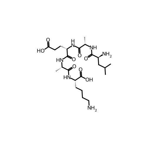 CC(C)C[C@H](N)C(=O)N[C@@H](C)C(=O)N[C@@H](CCC(=O)O)C(=O)N[C@@H](C)C(=O)N[C@@H](CCCCN)C(=O)O